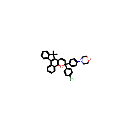 CC1(C)c2ccccc2-c2c1c1c(c3ccccc23)OC(c2ccc(Cl)cc2)(c2ccc(N3CCOCC3)cc2)C=C1